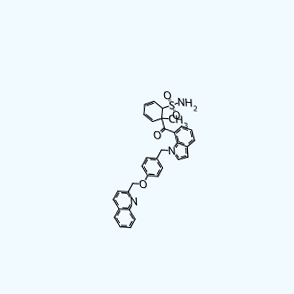 CC1(C(=O)c2cccc3ccn(Cc4ccc(OCc5ccc6ccccc6n5)cc4)c23)C=CC=CC1S(N)(=O)=O